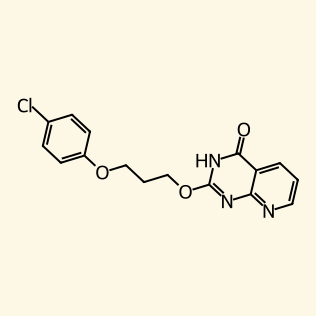 O=c1[nH]c(OCCCOc2ccc(Cl)cc2)nc2ncccc12